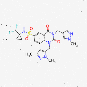 Cc1cc(Cn2c(=O)n(Cc3cnn(C)c3)c(=O)c3cc(S(=O)(=O)NC4(C(F)F)CC4)ccc32)n(C)n1